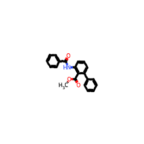 COC(=O)c1c(NC(=O)c2ccccc2)cccc1-c1ccccc1